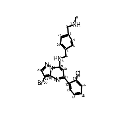 CNCc1ccc(CNc2cc(-c3ccccc3Cl)nc3c(Br)cnn23)cc1